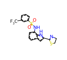 O=S(=O)(Nc1cccc2cc(C3=NCCS3)[nH]c12)c1cccc(C(F)(F)F)c1